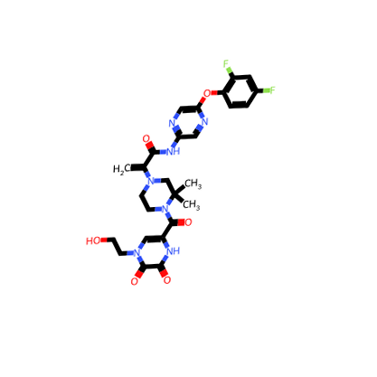 C=C(C(=O)Nc1cnc(Oc2ccc(F)cc2F)cn1)N1CCN(C(=O)c2cn(CCO)c(=O)c(=O)[nH]2)C(C)(C)C1